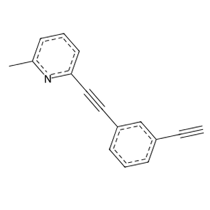 C#Cc1cccc(C#Cc2cccc(C)n2)c1